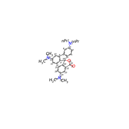 CCCN(CCC)c1ccc2c(c1)-c1cc(N(C)C)ccc1C21OC(=O)c2cc(N(C)C)ccc21